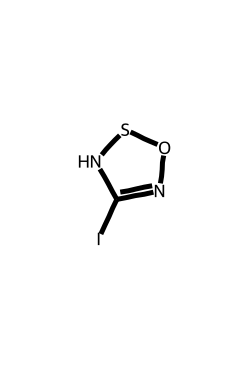 IC1=NOSN1